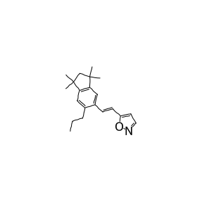 CCCc1cc2c(cc1C=Cc1ccno1)C(C)(C)CC2(C)C